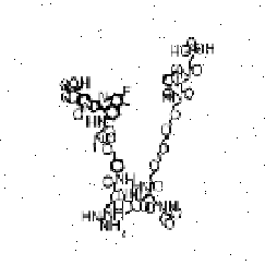 CCN(CC(=O)NC1CCc2c(C)c(F)cc3nc4c(c1c23)Cn1c-4cc2c(c1=O)COC(=O)[C@]2(O)CC)C(=O)OCc1ccc(NC(=O)[C@H](CCCNC(=N)N)NC(=O)[C@@H](NC(=O)[C@H](CC(=O)N[C@H]2CCOC2=O)NC(=O)CCOCCOCCOCCOCCNC(=O)[C@H](CNC(=O)CCP(=O)(O)O)N2C(=O)C=CC2=O)C(C)C)cc1